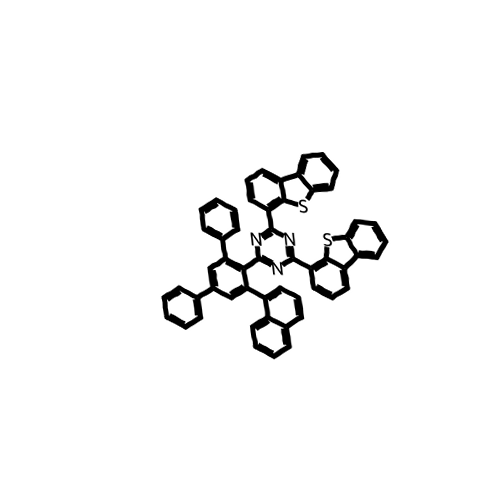 c1ccc(-c2cc(-c3ccccc3)c(-c3nc(-c4cccc5c4sc4ccccc45)nc(-c4cccc5c4sc4ccccc45)n3)c(-c3cccc4ccccc34)c2)cc1